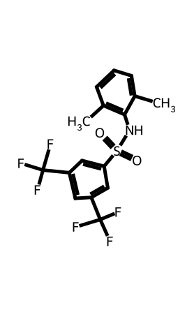 Cc1cccc(C)c1NS(=O)(=O)c1cc(C(F)(F)F)cc(C(F)(F)F)c1